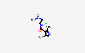 CCN(CC)CCNC(=O)c1c(C)c[nH]c1C.Cl